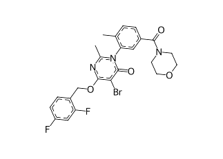 Cc1ccc(C(=O)N2CCOCC2)cc1-n1c(C)nc(OCc2ccc(F)cc2F)c(Br)c1=O